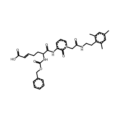 Cc1cc(C)c(CCNC(=O)Cn2cccc(NC(=O)C(CC/C=C/C(=O)O)NC(=O)OCc3ccccc3)c2=O)c(C)c1